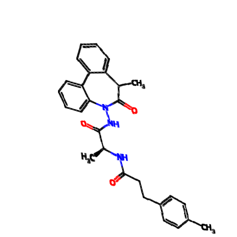 Cc1ccc(CCC(=O)N[C@@H](C)C(=O)NN2C(=O)C(C)c3ccccc3-c3ccccc32)cc1